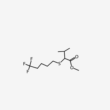 COC(=O)C(SCCCCC(F)(F)F)C(C)C